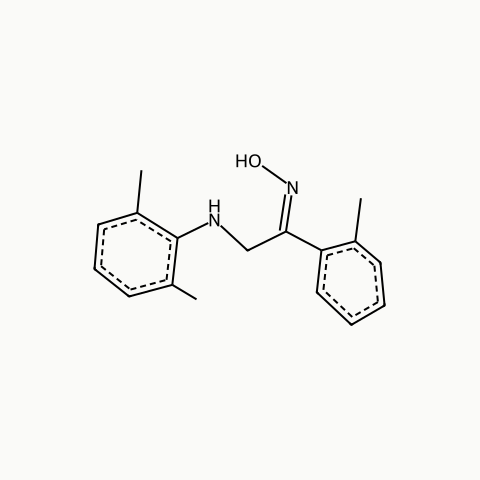 Cc1ccccc1C(CNc1c(C)cccc1C)=NO